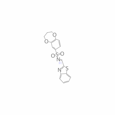 O=S(=O)(/N=C/c1nc2ccccc2s1)c1ccc2c(c1)OCCCO2